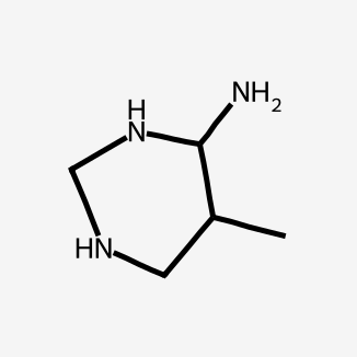 CC1CNCNC1N